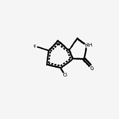 O=C1NCc2cc(F)cc(Cl)c21